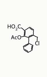 CC(=O)Oc1c(C(=O)O)ccc(CCl)c1-c1ccccc1